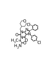 C[C@@H](C(N)=O)n1c(=O)c2c(nc(-c3ccccc3Cl)n2-c2ccc(Cl)cc2)n(CC2CCOCC2)c1=O